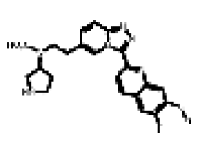 CCOc1cc2nc(-c3nnc4ccc(CCN(C(=O)O)C5CCNC5)cn34)ccc2cc1F